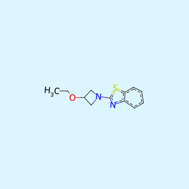 CCOC1CN(c2nc3ccccc3s2)C1